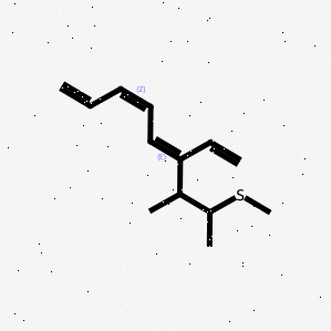 C=C/C=C\C=C(/C=C)C(C)C(C)SC